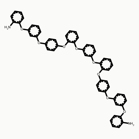 Nc1ccccc1Oc1cccc(Oc2ccc(Oc3ccccc3Oc3cccc(Oc4ccccc4Oc4ccc(Oc5cccc(Oc6ccccc6N)c5)cc4)c3)cc2)c1